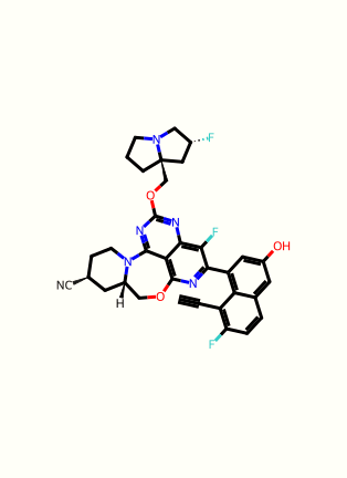 C#Cc1c(F)ccc2cc(O)cc(-c3nc4c5c(nc(OC[C@@]67CCCN6C[C@H](F)C7)nc5c3F)N3CC[C@H](C#N)C[C@H]3CO4)c12